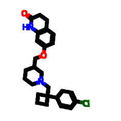 O=C1CCc2ccc(OCC3CCCN(CC4(C5C=CC(Cl)=CC5)CCC4)C3)cc2N1